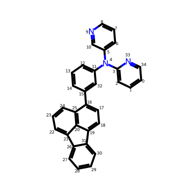 c1ccc(N(c2cccnc2)c2cccc(-c3ccc4c5c(cccc35)-c3ccccc3-4)c2)nc1